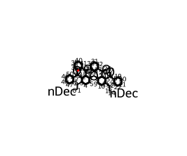 CCCCCCCCCCCCc1ccc(Oc2ccc(CCCCCCCCCCCC)c(C(=O)c3ccccc3)c2C(=O)c2ccccc2)c(C(=O)c2ccccc2)c1C(=O)c1ccccc1